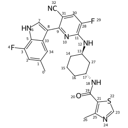 Cc1cc(F)c2[nH]cc(-c3nc(N[C@@H]4CCC[C@@H](NC(=O)c5scnc5C)C4)c(F)cc3C#N)c2c1